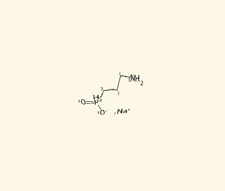 NCCC[PH](=O)[O-].[Na+]